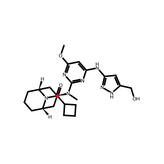 COc1cc(Nc2cc(CO)[nH]n2)nc(N(C)[C@@H]2C[C@H]3CCC[C@@H](C2)N3C(=O)C2CCC2)n1